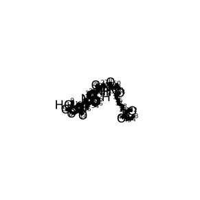 CC[C@@]1(O)C(=O)OCc2c1cc1n(c2=O)Cc2c-1nc1ccc(NC(=O)[C@H](C)NC(=O)[C@@H](NC(=O)CCCCCN3COCC=CC3=O)C(C)C)c3c1c2CCC3